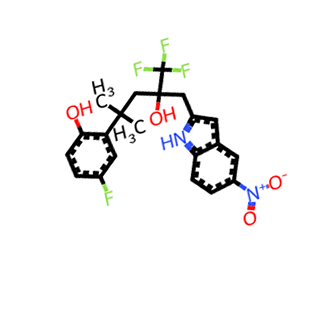 CC(C)(CC(O)(Cc1cc2cc([N+](=O)[O-])ccc2[nH]1)C(F)(F)F)c1cc(F)ccc1O